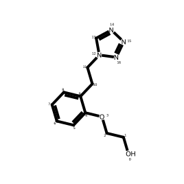 OCCOc1ccccc1CCn1cnnn1